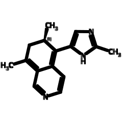 CC1=c2cnccc2=C(c2cnc(C)[nH]2)[C@H](C)C1